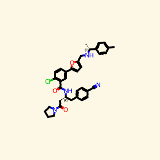 Cc1ccc([C@@H](C)NCc2ccc(-c3ccc(Cl)c(C(=O)N[C@@H](CC(=O)N4CCCC4)Cc4ccc(C#N)cc4)c3)o2)cc1